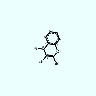 FC1=C(Br)Oc2ccccc2C1F